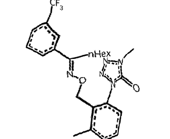 CCCCCCC(=NOCc1c(C)cccc1-n1nnn(C)c1=O)c1cccc(C(F)(F)F)c1